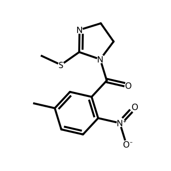 CSC1=NCCN1C(=O)c1cc(C)ccc1[N+](=O)[O-]